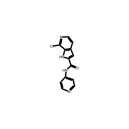 O=C(Nc1ccncc1)c1cc2ccnc(Cl)c2[nH]1